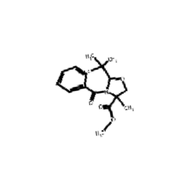 COC(=O)C1(C)COC(C(C)(C)C)N1C(=O)c1ccccc1